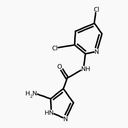 Nc1[nH]ncc1C(=O)Nc1ncc(Cl)cc1Cl